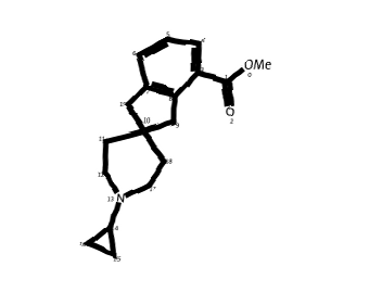 COC(=O)c1cccc2c1CC1(CCN(C3CC3)CC1)C2